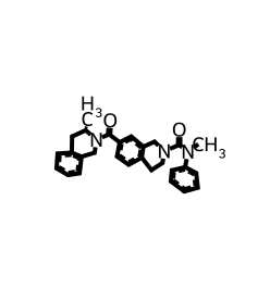 C[C@@H]1Cc2ccccc2CN1C(=O)c1ccc2c(c1)CN(C(=O)N(C)c1ccccc1)CC2